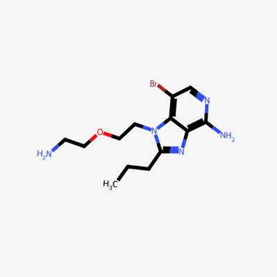 CCCc1nc2c(N)ncc(Br)c2n1CCOCCN